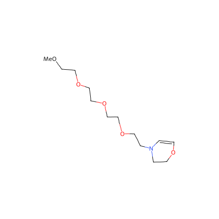 COCCOCCOCCOCCN1C=COCC1